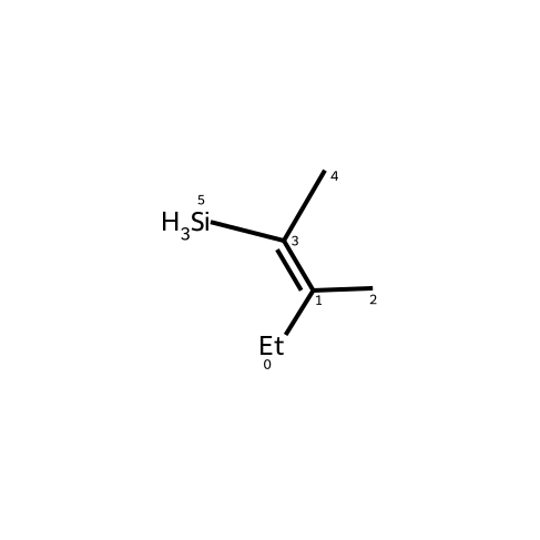 CCC(C)=C(C)[SiH3]